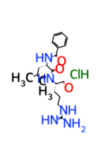 CC(C)C[C@H](NC(=O)c1ccccc1)C(=O)N[C@H](C=O)CCCNC(=N)N.Cl